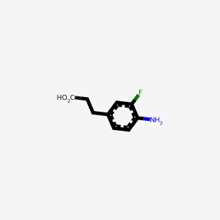 Nc1ccc(CCC(=O)O)cc1F